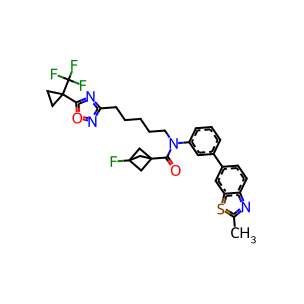 Cc1nc2ccc(-c3cccc(N(CCCCCc4noc(C5(C(F)(F)F)CC5)n4)C(=O)C45CC(F)(C4)C5)c3)cc2s1